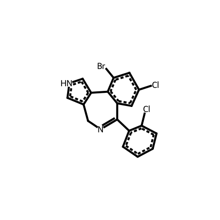 Clc1cc(Br)c2c(c1)C(c1ccccc1Cl)=NCc1c[nH]cc1-2